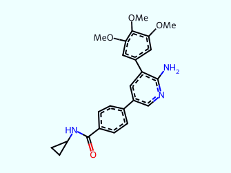 COc1cc(-c2cc(-c3ccc(C(=O)NC4CC4)cc3)cnc2N)cc(OC)c1OC